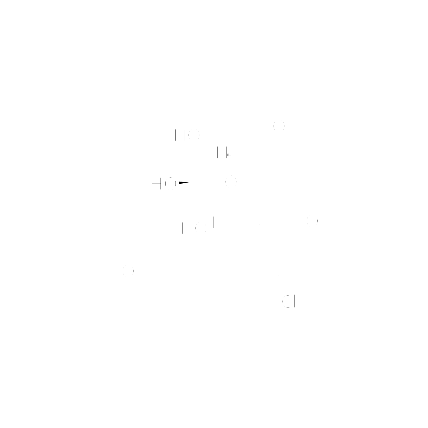 CCOc1ccc(Cc2cc3c(cc2Cl)OCCCCOC[C@H]2O[C@@H]3[C@H](O)[C@@H](O)[C@@H]2O)cc1